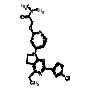 CCc1nc(-c2ccc(Cl)s2)nc2c1CCN2c1ccnc(OCC(=O)N(C)C)c1